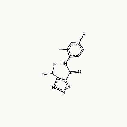 Cc1cc(F)ccc1NC(=O)c1snnc1C(F)F